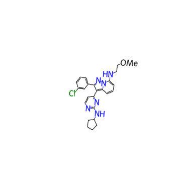 COCCNc1cccc2c(-c3ccnc(NC4CCCC4)n3)c(-c3cccc(Cl)c3)nn12